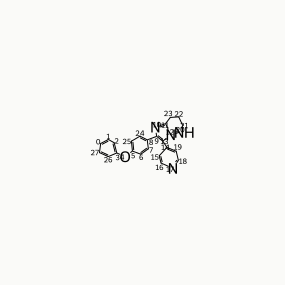 c1ccc(Oc2ccc(-c3nc4n(c3-c3ccncc3)NCCC4)cc2)cc1